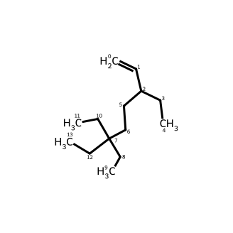 C=CC(CC)CCC(CC)(CC)CC